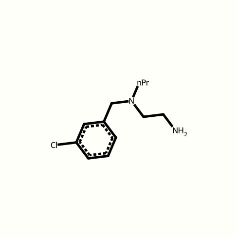 CCCN(CCN)Cc1cccc(Cl)c1